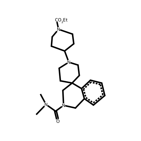 CCOC(=O)N1CCC(N2CCC3(CC2)CN(C(=O)N(C)C)Cc2ccccc23)CC1